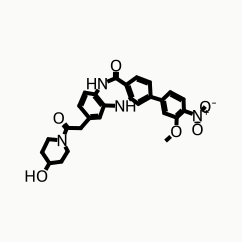 COc1cc(-c2ccc3c(c2)Nc2cc(CC(=O)N4CCC(O)CC4)ccc2NC3=O)ccc1[N+](=O)[O-]